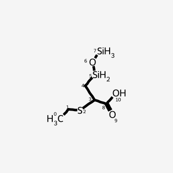 CCSC(C[SiH2]O[SiH3])C(=O)O